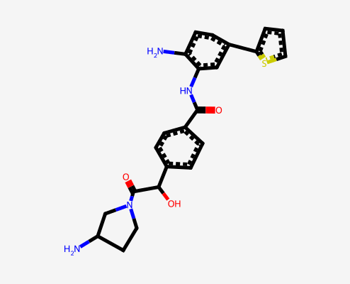 Nc1ccc(-c2cccs2)cc1NC(=O)c1ccc(C(O)C(=O)N2CCC(N)C2)cc1